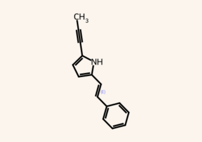 CC#Cc1ccc(/C=C/c2ccccc2)[nH]1